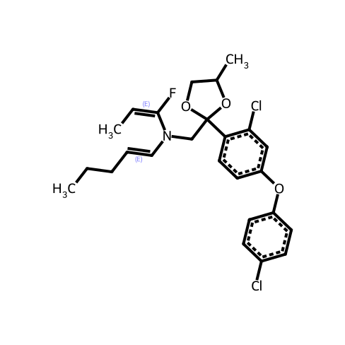 C/C=C(/F)N(/C=C/CCC)CC1(c2ccc(Oc3ccc(Cl)cc3)cc2Cl)OCC(C)O1